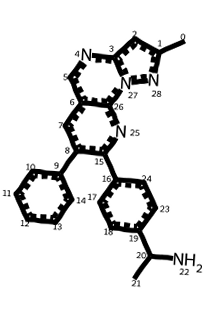 Cc1cc2ncc3cc(-c4ccccc4)c(-c4ccc(C(C)N)cc4)nc3n2n1